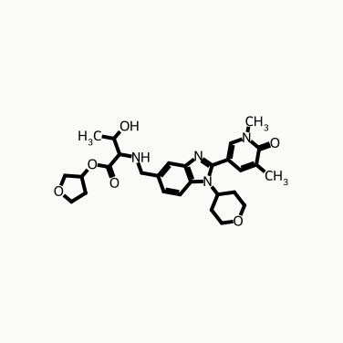 Cc1cc(-c2nc3cc(CNC(C(=O)OC4CCOC4)C(C)O)ccc3n2C2CCOCC2)cn(C)c1=O